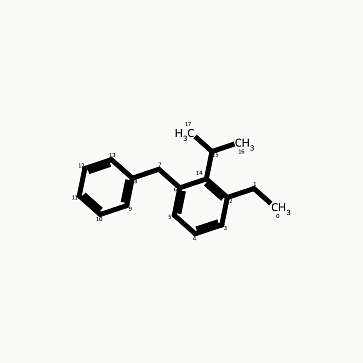 CCc1cccc(Cc2ccccc2)c1C(C)C